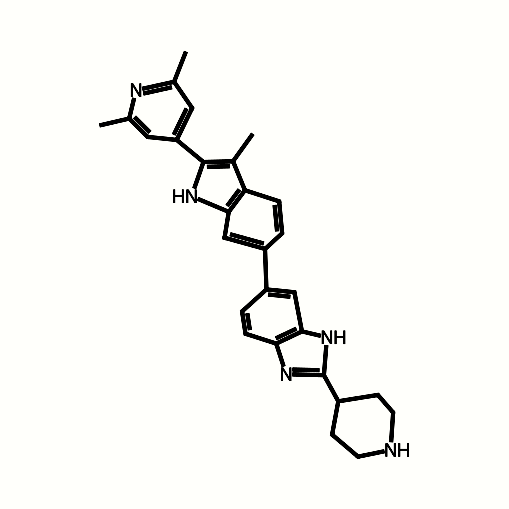 Cc1cc(-c2[nH]c3cc(-c4ccc5nc(C6CCNCC6)[nH]c5c4)ccc3c2C)cc(C)n1